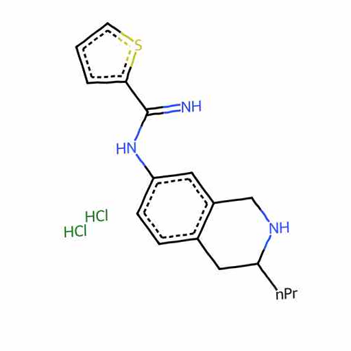 CCCC1Cc2ccc(NC(=N)c3cccs3)cc2CN1.Cl.Cl